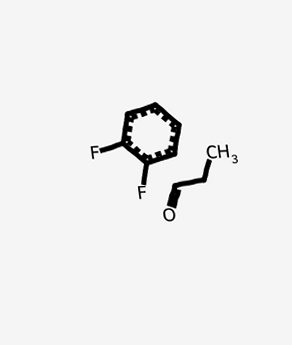 CCC=O.Fc1ccccc1F